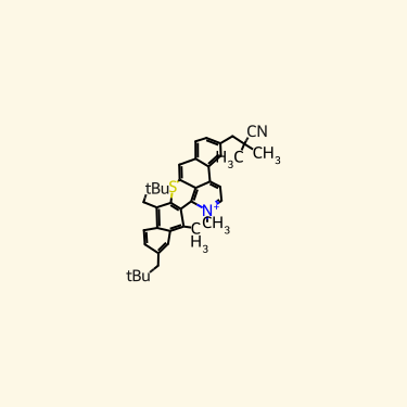 Cc1c2c(c(CC(C)(C)C)c3ccc(CC(C)(C)C)cc13)Sc1cc3ccc(CC(C)(C)C#N)cc3c3cc[n+](C)c-2c13